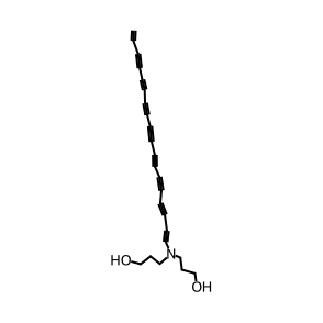 C#CC#CC#CC#CC#CC#CC#CC#CC#CN(CCCO)CCCO